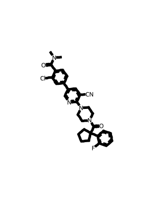 CN(C)C(=O)c1ccc(-c2cnc(N3CCN(C(=O)C4(c5ccccc5F)CCCC4)CC3)c(C#N)c2)cc1Cl